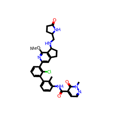 COc1nc(-c2cccc(-c3cccc(NC(=O)c4ccnn(C)c4=O)c3C)c2Cl)cc2c1C(NCC1CCC(=O)N1)CC2